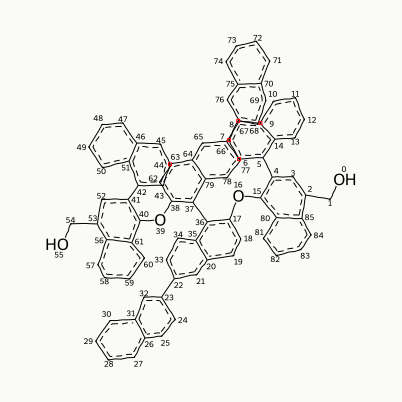 OCc1cc(-c2cccc3ccccc23)c(Oc2ccc3cc(-c4ccc5ccccc5c4)ccc3c2-c2c(Oc3c(-c4cccc5ccccc45)cc(CO)c4ccccc34)ccc3cc(-c4ccc5ccccc5c4)ccc23)c2ccccc12